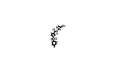 Cc1ccc(S(=O)(=O)n2ccc(C(=O)Nc3ncc(C(C)C)s3)c2)cc1